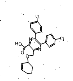 O=C(O)c1nc(-c2ccc(Cl)cc2)c(-c2ccc(Cl)cc2)nc1COC1C=CCCC1